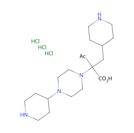 CC(=O)C(CC1CCNCC1)(C(=O)O)N1CCN(C2CCNCC2)CC1.Cl.Cl.Cl